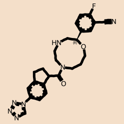 N#Cc1cc([C@@H]2CNCCN(C(=O)C3CCc4cc(-n5cnnn5)ccc43)CCCO2)ccc1F